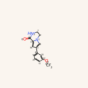 O=C1NCCn2cc(-c3cccc(OC(F)(F)F)c3)cc21